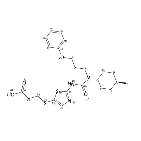 C[C@H]1CC[C@H](N(CCCOc2ccccc2)C(=O)Nc2ncc(SCCC(=O)O)s2)CC1